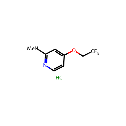 CNc1cc(OCC(F)(F)F)ccn1.Cl